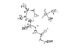 CC(C)(O)C(Cl)(Cl)Cl.CCCCCCCCCCCC(=O)OC[C@@H](O)[C@H]1OC[C@H](O)[C@H]1O